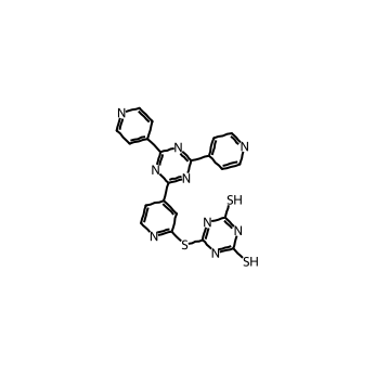 Sc1nc(S)nc(Sc2cc(-c3nc(-c4ccncc4)nc(-c4ccncc4)n3)ccn2)n1